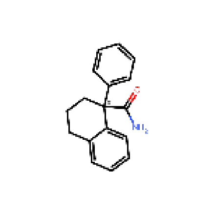 NC(=O)[C@]1(c2ccccc2)CCCc2ccccc21